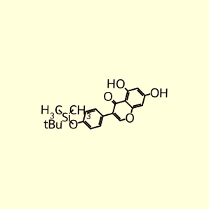 CC(C)(C)[Si](C)(C)Oc1ccc(-c2coc3cc(O)cc(O)c3c2=O)cc1